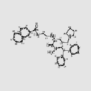 CN(CC(c1ccccc1)c1ccccc1)C(=O)[C@H](CCCN1CCCC1)NCCNC(=O)c1ccc2ccccc2c1